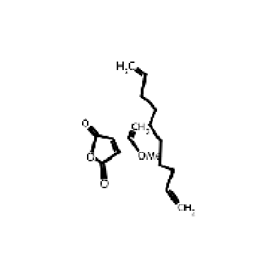 C=CCCCCCCC=C.C=COC.O=C1C=CC(=O)O1